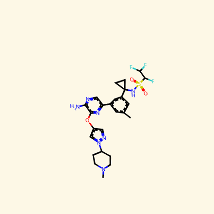 Cc1cc(-c2cnc(N)c(Oc3cnn(C4CCN(C)CC4)c3)n2)cc(C2(NS(=O)(=O)C(F)C(F)F)CC2)c1